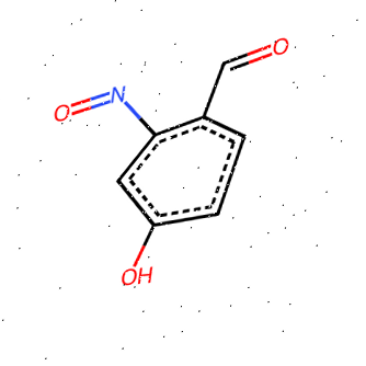 O=Cc1ccc(O)cc1N=O